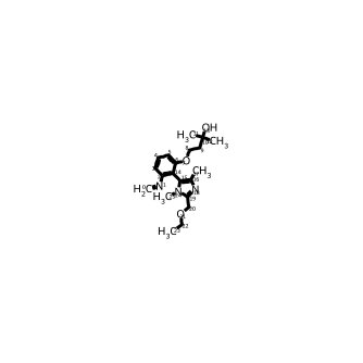 C=Nc1cccc(OCCC(C)(C)O)c1-c1c(C)nc(COCC)n1C